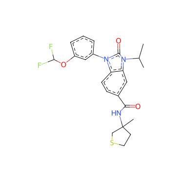 CC(C)n1c(=O)n(-c2cccc(OC(F)F)c2)c2ccc(C(=O)NC3(C)CCSC3)cc21